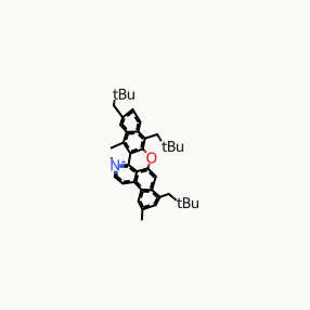 Cc1cc(CC(C)(C)C)c2cc3c4c([n+](C)ccc4c2c1)-c1c(c(CC(C)(C)C)c2ccc(CC(C)(C)C)cc2c1C)O3